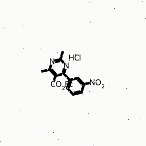 CCOC(=O)c1c(C)nc(C)nc1-c1cccc([N+](=O)[O-])c1.Cl